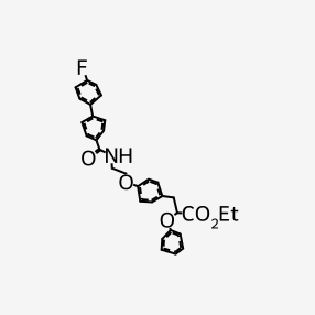 CCOC(=O)C(Cc1ccc(OCCNC(=O)c2ccc(-c3ccc(F)cc3)cc2)cc1)Oc1ccccc1